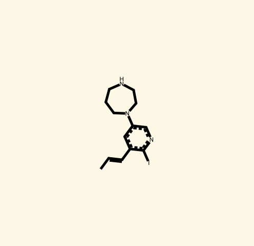 CC=Cc1cc(N2CCCNCC2)cnc1I